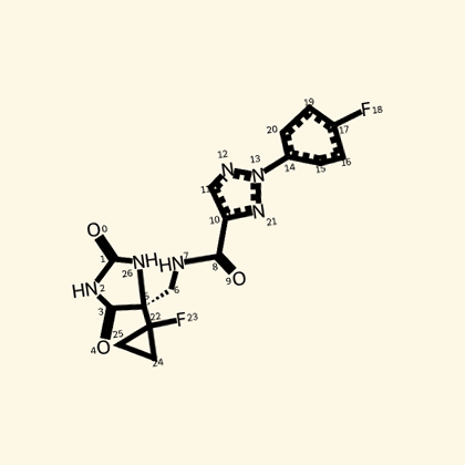 O=C1NC(=O)[C@](CNC(=O)c2cnn(-c3ccc(F)cc3)n2)(C2(F)CC2)N1